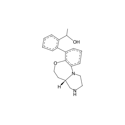 CC(O)c1ccccc1-c1cccc2c1OCC[C@H]1CNCCN21